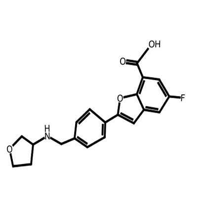 O=C(O)c1cc(F)cc2cc(-c3ccc(CNC4CCOC4)cc3)oc12